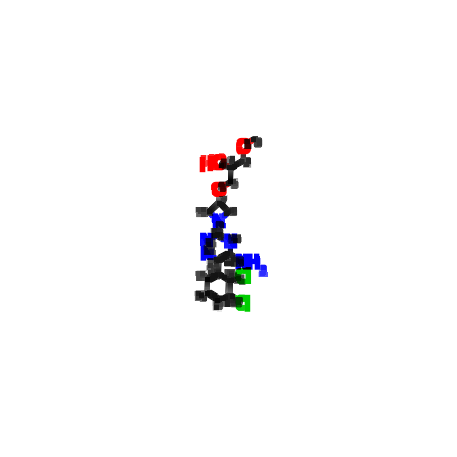 COCC(O)COC1CN(c2nnc(-c3cccc(Cl)c3Cl)c(N)n2)C1